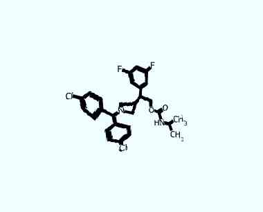 CC(C)NC(=O)OCC(c1cc(F)cc(F)c1)C1CN(C(c2ccc(Cl)cc2)c2ccc(Cl)cc2)C1